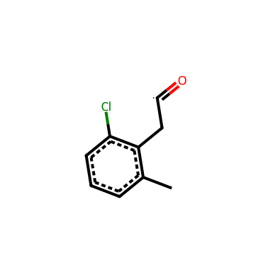 Cc1cccc(Cl)c1C[C]=O